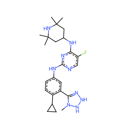 CN1NNN=C1c1cc(Nc2ncc(F)c(NC3CC(C)(C)NC(C)(C)C3)n2)ccc1C1CC1